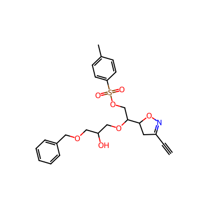 C#CC1=NOC(C(COS(=O)(=O)c2ccc(C)cc2)OCC(O)COCc2ccccc2)C1